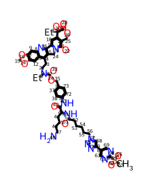 CCN(CCc1c2c(nc3cc4c(cc13)OCO4)-c1cc3c(c(=O)n1C2)COC(=O)[C@]3(O)CC)C(=O)OCc1ccc(NC(=O)C(CCCCN)NC(=O)CCCCCn2cc(-c3cnc(S(C)(=O)=O)nc3)nn2)cc1